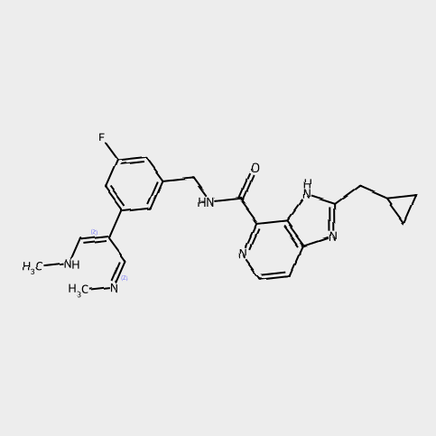 C/N=C\C(=C/NC)c1cc(F)cc(CNC(=O)c2nccc3nc(CC4CC4)[nH]c23)c1